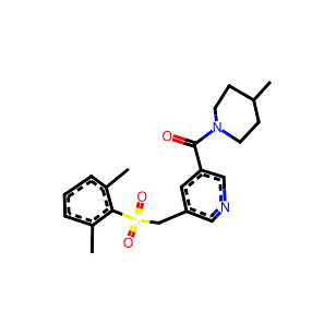 Cc1cccc(C)c1S(=O)(=O)Cc1cncc(C(=O)N2CCC(C)CC2)c1